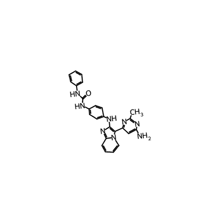 Cc1nc(N)cc(-c2c(Nc3ccc(NC(=O)Nc4ccccc4)cc3)nc3ccccn23)n1